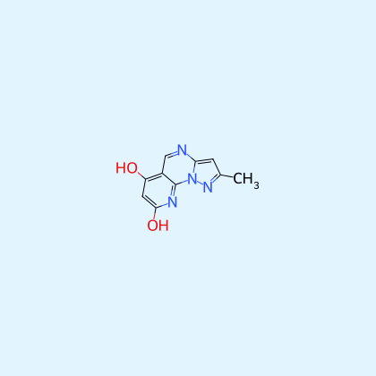 Cc1cc2ncc3c(O)cc(O)nc3n2n1